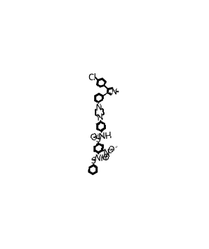 Cn1cc(-c2ccc(Cl)cc2)c(-c2cccc(N3CCN(c4ccc(N[S+]([O-])c5ccc(NSc6ccccc6)c([N+](=O)[O-])c5)cc4)CC3)c2)c1